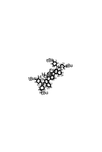 CC(C)(C)c1ccc(N(c2ccc(C(C)(C)C)cc2)c2cc3c(c4ccccc24)-c2ccc4c(c2C3(C)C)C(C)(C)c2cc(N(c3ccc(C(C)(C)C)cc3)c3ccc(C(C)(C)C)cc3)c3ccccc3c2-4)cc1